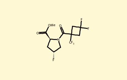 COC(=O)[C@@H]1C[C@@H](F)CN1C(=O)C1(C(F)(F)F)CC(F)(F)C1